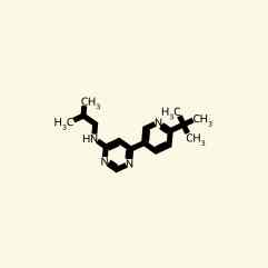 CC(C)CNc1cc(-c2ccc(C(C)(C)C)nc2)ncn1